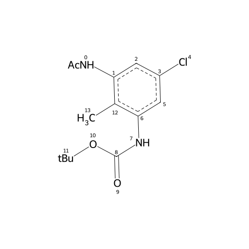 CC(=O)Nc1cc(Cl)cc(NC(=O)OC(C)(C)C)c1C